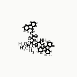 C[C@@H](OC(C)(C)C)[C@H](NC(=O)[C@@H](N)CSC(c1ccccc1)(c1ccccc1)c1ccccc1)C(=O)C(=O)OCC1c2ccccc2-c2ccccc21